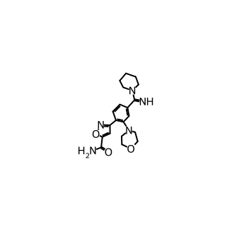 N=C(c1ccc(-c2cc(C(N)=O)on2)c(N2CCOCC2)c1)N1CCCCC1